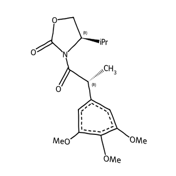 COc1cc([C@@H](C)C(=O)N2C(=O)OC[C@H]2C(C)C)cc(OC)c1OC